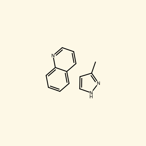 Cc1cc[nH]n1.c1ccc2ncccc2c1